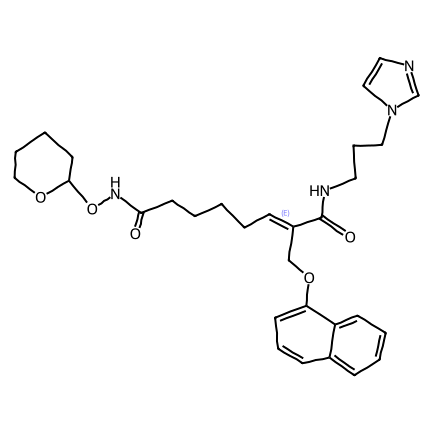 O=C(CCCC/C=C(\COc1cccc2ccccc12)C(=O)NCCCn1ccnc1)NOC1CCCCO1